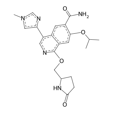 CC(C)Oc1cc2c(OCC3CCC(=O)N3)ncc(-c3cn(C)cn3)c2cc1C(N)=O